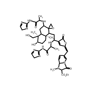 CCOC(=O)C1C(=O)N2C=C(/C=C3\C=C(C(CC4C5(CO5)C(NC(C)C(=O)NC5=NCC=N5)CC5[C@]4(C)CC[C@@H](O)[C@@]5(C)CO)NC(C)C(=O)NC4=NCC=N4)C(=O)O3)C=CC2N1C